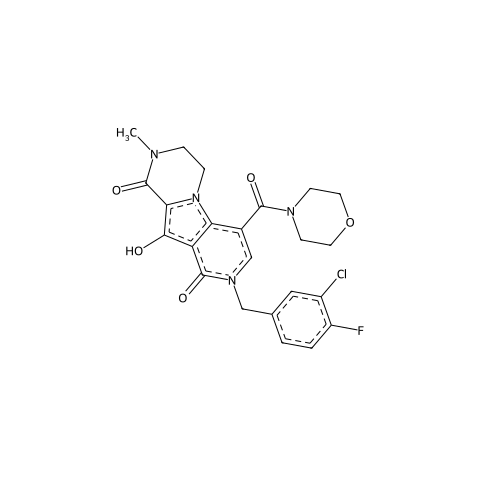 CN1CCn2c(c(O)c3c(=O)n(Cc4ccc(F)c(Cl)c4)cc(C(=O)N4CCOCC4)c32)C1=O